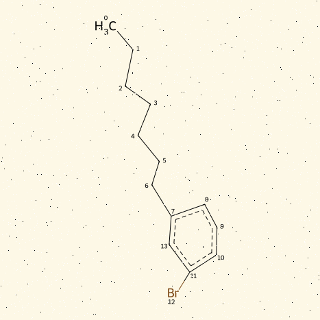 CCCCCCCc1cccc(Br)c1